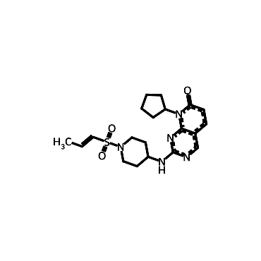 C/C=C/S(=O)(=O)N1CCC(Nc2ncc3ccc(=O)n(C4CCCC4)c3n2)CC1